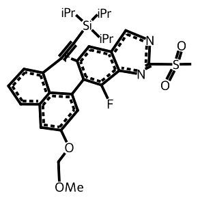 COCOc1cc(-c2c(F)cc3cnc(S(C)(=O)=O)nc3c2F)c2c(C#C[Si](C(C)C)(C(C)C)C(C)C)cccc2c1